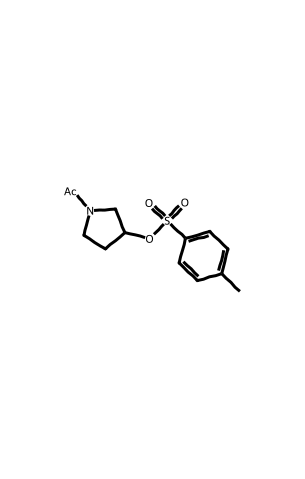 CC(=O)N1CCC(OS(=O)(=O)c2ccc(C)cc2)C1